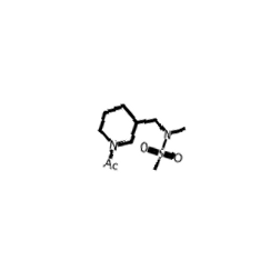 CC(=O)N1CCCC(CN(C)S(C)(=O)=O)C1